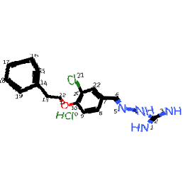 Cl.N=C(N)NN=Cc1ccc(OCCc2ccccc2)c(Cl)c1